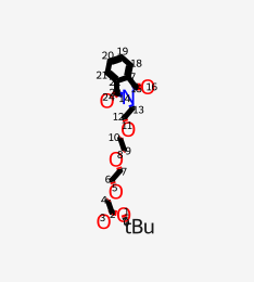 CC(C)(C)OC(=O)COCCOCCOCCN1C(=O)c2ccccc2C1=O